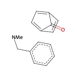 CNCc1ccccc1.O=C1C2=CC=C1C=C2